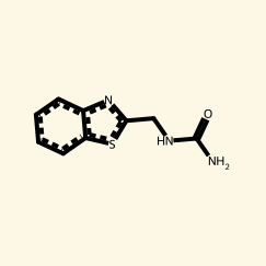 NC(=O)NCc1nc2ccccc2s1